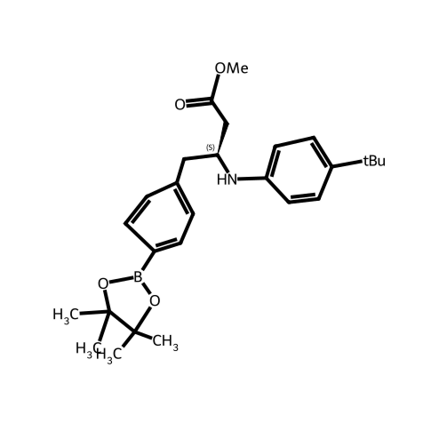 COC(=O)C[C@H](Cc1ccc(B2OC(C)(C)C(C)(C)O2)cc1)Nc1ccc(C(C)(C)C)cc1